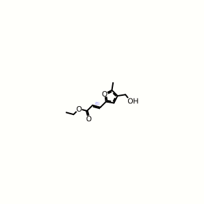 CCOC(=O)/C=C/c1cc(CO)c(C)o1